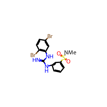 CNS(=O)(=O)c1cccc(NC(=N)Nc2cc(Br)ccc2Br)c1